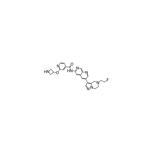 O=C(Nc1cc2cc(-c3cnn4c3CN(CCF)CC4)cnc2cn1)c1ccnc(OC2CNC2)c1